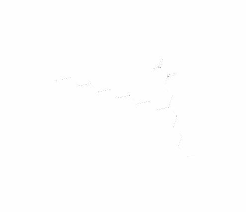 C=C(C)C(=O)OCC(CCCCCCCCCCCCCC)CCCCCCCCCCCCCCCCCCCC